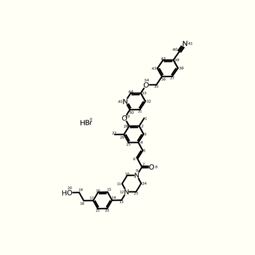 Br.Cc1cc(C=CC(=O)N2CCN(Cc3ccc(CCO)cc3)CC2)cc(C)c1Oc1ccc(OCc2ccc(C#N)cc2)cn1